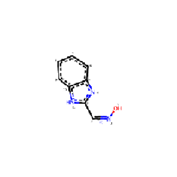 O/N=C\c1nc2ccccc2[nH]1